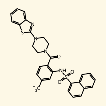 O=C(c1ccc(C(F)(F)F)cc1NS(=O)(=O)c1cccc2ccccc12)N1CCN(c2nc3ccccc3s2)CC1